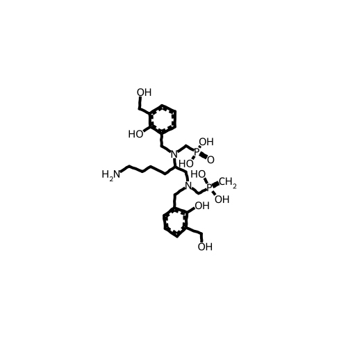 C=P(O)(O)CN(Cc1cccc(CO)c1O)CC(CCCCN)N(Cc1cccc(CO)c1O)CP(=O)(O)O